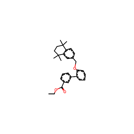 CCOC(=O)c1cccc(-c2ccccc2OCc2ccc3c(c2)C(C)(C)CCC3(C)C)c1